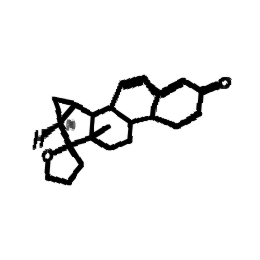 CC12CCC3C4CCC(=O)C=C4C=CC3C1C1C[C@H]1C21CCCO1